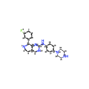 Fc1cccc(-c2nccc3cnc(Nc4ccc(N5CCNCC5)cc4)nc23)c1